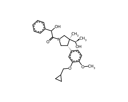 COc1ccc([C@@H]2CN(C(=O)C(O)c3ccccc3)C[C@@]2(C)[C@@H](C)O)cc1OCC1CC1